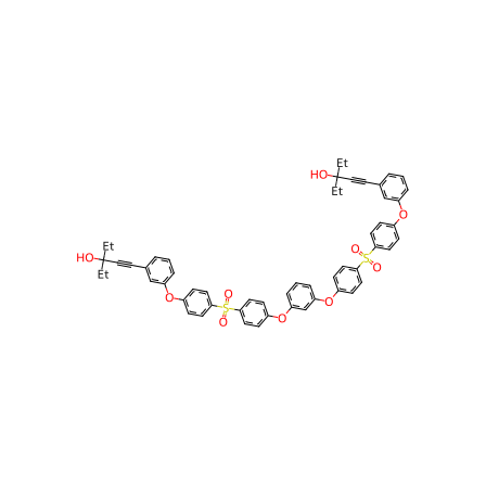 CCC(O)(C#Cc1cccc(Oc2ccc(S(=O)(=O)c3ccc(Oc4cccc(Oc5ccc(S(=O)(=O)c6ccc(Oc7cccc(C#CC(O)(CC)CC)c7)cc6)cc5)c4)cc3)cc2)c1)CC